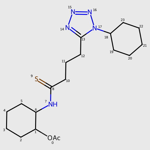 CC(=O)OC1CCCCC1NC(=S)CCCc1nnnn1C1CCCCC1